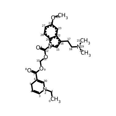 CCN1C=CCC(C(=O)OCOC(=O)n2cc(CCN(C)C)c3cc(OC)ccc32)=C1